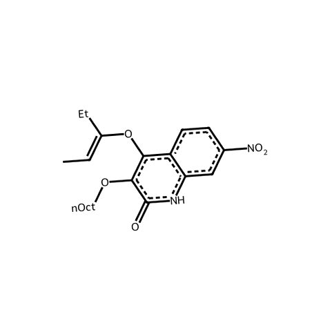 CC=C(CC)Oc1c(OCCCCCCCC)c(=O)[nH]c2cc([N+](=O)[O-])ccc12